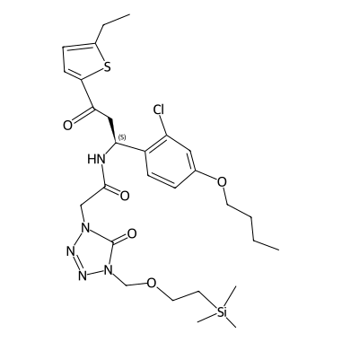 CCCCOc1ccc([C@H](CC(=O)c2ccc(CC)s2)NC(=O)Cn2nnn(COCC[Si](C)(C)C)c2=O)c(Cl)c1